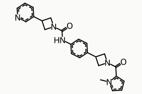 Cn1cccc1C(=O)N1CC(c2ccc(NC(=O)N3CC(c4cccnc4)C3)cc2)C1